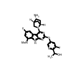 CNc1cc(F)cc2c1[nH]c1nc(Oc3cnc(C(C)O)c(F)c3)nc(N3C[C@H]4C[C@@H]3C[C@H]4N)c12